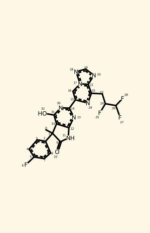 CC1(c2ccc(F)cc2)C(=O)Nc2nc(-c3cn4ncnc4c(CC(F)C(F)F)n3)nc(O)c21